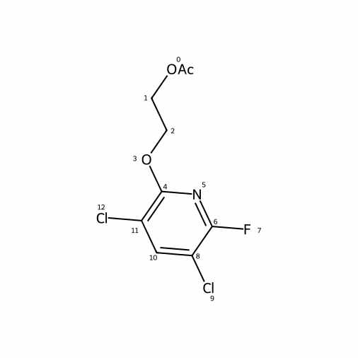 CC(=O)OCCOc1nc(F)c(Cl)cc1Cl